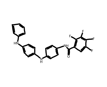 O=C(Nc1ccc(Nc2ccc(Nc3ccccc3)cc2)cc1)c1cc(F)c(F)c(F)c1F